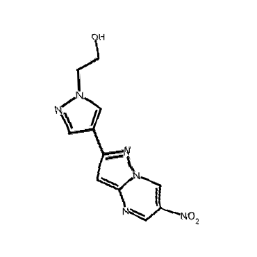 O=[N+]([O-])c1cnc2cc(-c3cnn(CCO)c3)nn2c1